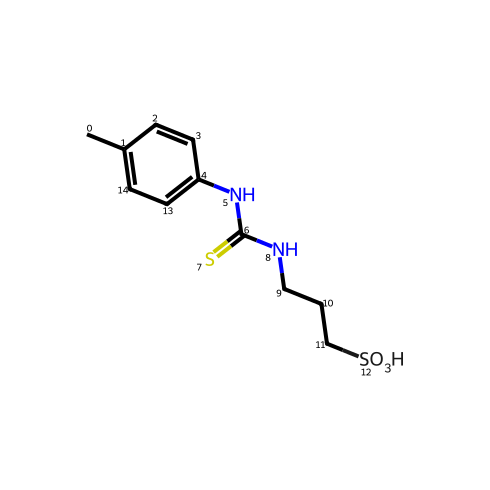 Cc1ccc(NC(=S)NCCCS(=O)(=O)O)cc1